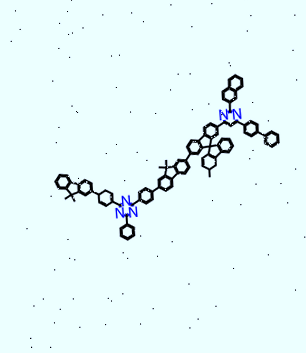 CC1C=CC2=C(C1)c1ccccc1C21c2cc(-c3ccc4c(c3)C(C)(C)c3cc(-c5ccc(-c6nc(C7=CCC(c8ccc9c(c8)C(C)(C)c8ccccc8-9)C=C7)nc(-c7ccccc7)n6)cc5)ccc3-4)ccc2-c2ccc(-c3cc(-c4ccc(-c5ccccc5)cc4)nc(-c4ccc5ccccc5c4)n3)cc21